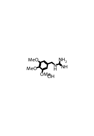 COc1cc(CNC(=N)N)cc(OC)c1OC.Cl